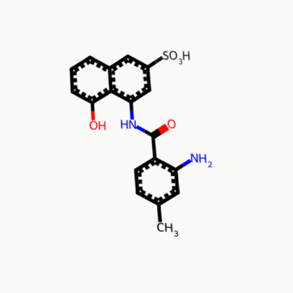 Cc1ccc(C(=O)Nc2cc(S(=O)(=O)O)cc3cccc(O)c23)c(N)c1